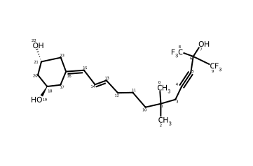 CC(C)(CC#CC(O)(C(F)(F)F)C(F)(F)F)CCCC=CC=C1C[C@@H](O)C[C@H](O)C1